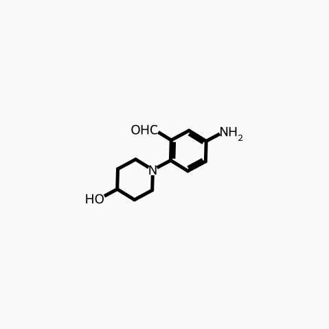 Nc1ccc(N2CCC(O)CC2)c(C=O)c1